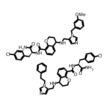 COc1cccc(Cn2cncc2CNC2CCOc3c(C(=O)N[C@@H](Cc4ccc(Cl)cc4)C(N)=O)cccc32)c1.NC(=O)[C@H](Cc1ccc(Cl)cc1)NC(=O)c1cccc2c1OCCC2NCc1cncn1CCc1ccccc1